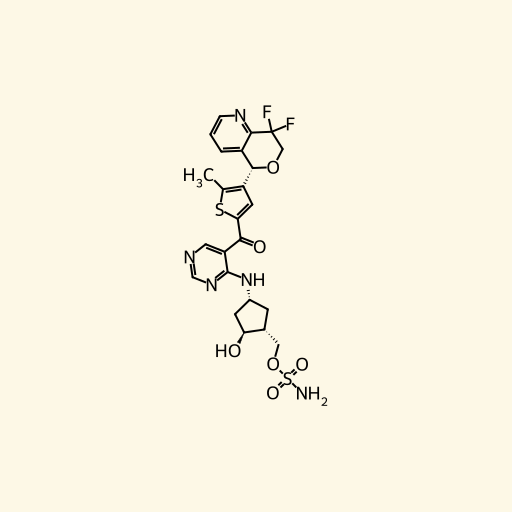 Cc1sc(C(=O)c2cncnc2N[C@@H]2C[C@H](COS(N)(=O)=O)[C@@H](O)C2)cc1[C@H]1OCC(F)(F)c2ncccc21